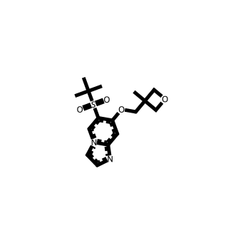 CC1(COc2cc3nccn3cc2S(=O)(=O)C(C)(C)C)COC1